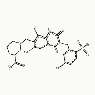 CCS(=O)(=O)c1ccc(Cl)cc1Cn1c(=O)[nH]c2c(Cl)c(CN3CCCC(C(N)=O)C3)c(C(F)(F)F)cc2c1=O